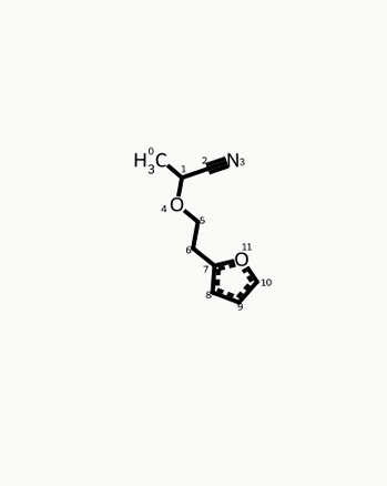 CC(C#N)OCCc1ccco1